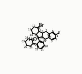 Cc1ccc2c(c1)CC1C3C(Br)CCCC3C(O)(c3ccccc3C3CCCCC3)C1C2